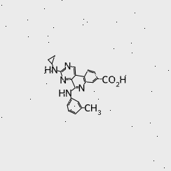 Cc1cccc(Nc2nc3cc(C(=O)O)ccc3c3cnc(NC4CC4)nc23)c1